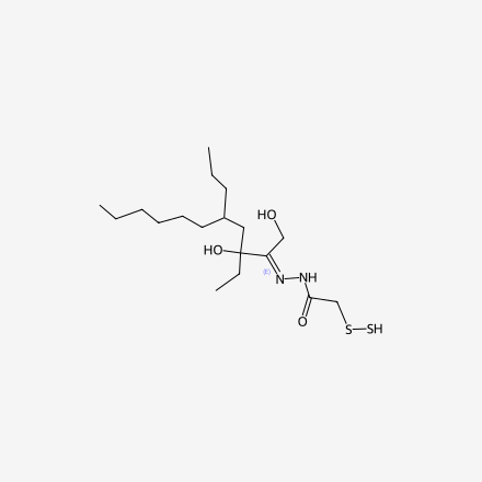 CCCCCCC(CCC)CC(O)(CC)/C(CO)=N/NC(=O)CSS